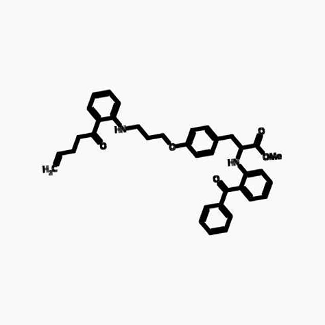 C=CCCC(=O)c1ccccc1NCCCOc1ccc(CC(Nc2ccccc2C(=O)c2ccccc2)C(=O)OC)cc1